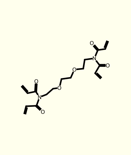 C=CC(=O)N(CCOCCOCCN(C(=O)C=C)C(=O)C=C)C(=O)C=C